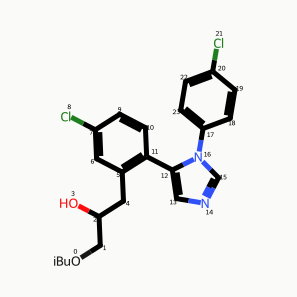 CC(C)COCC(O)Cc1cc(Cl)ccc1-c1cncn1-c1ccc(Cl)cc1